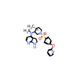 C[C@@H]1CCN(S(=O)(=O)c2ccc(Oc3ccccn3)cc2)CC1N(C)c1ccnc2c1CCN2